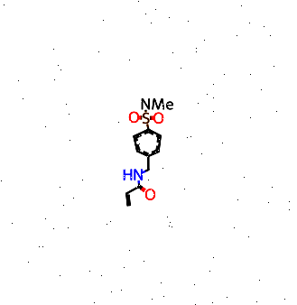 C=CC(=O)NCc1ccc(S(=O)(=O)NC)cc1